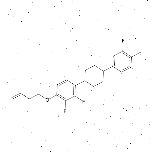 C=CCCOc1ccc(C2CCC(c3ccc(C)c(F)c3)CC2)c(F)c1F